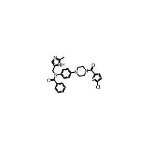 Cc1ncc(CN(C(=O)c2ccccc2)c2ccc(N3CCN(C(=O)c4ccc(Cl)s4)CC3)cc2)[nH]1